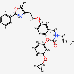 Cc1oc(-c2ccccc2)nc1CCOc1cccc(CN(CC(=O)O)C(=O)Oc2cccc(OC3CC3)c2)c1